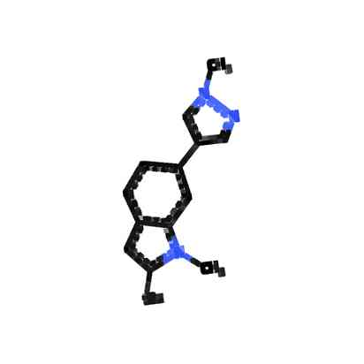 Cn1cc(-c2ccc3cc(C(C)(C)C)n(C)c3c2)cn1